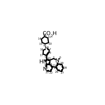 CN1Cc2c(C3=CCN([C@H]4CC[C@H](C(=O)O)CC4)CC3)[nH]c3nccc(c23)-c2ccccc21